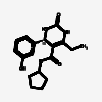 CCC1=C(C(=O)OC2CCCC2)[C@H](c2cccc(O)c2)NC(=O)N1